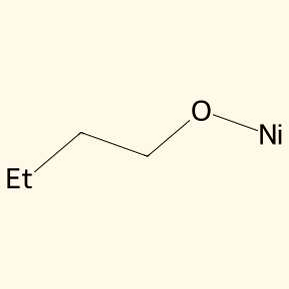 CCCC[O][Ni]